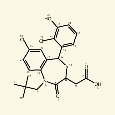 CC(C)(C)CN1C(=O)C(CC(=O)O)SC(c2cccc(O)c2Cl)c2cc(Cl)ccc21